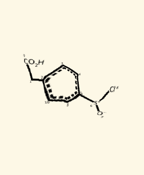 O=C(O)Cc1ccc([S+]([O-])Cl)cc1